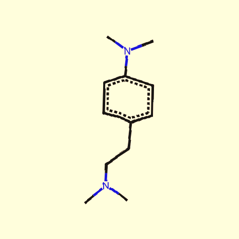 CN(C)CCc1ccc(N(C)C)cc1